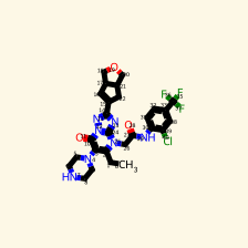 CCc1c(N2CCNCC2)c(=O)n2nc(C3=CC4COCC4C3)nc2n1CC(=O)Nc1ccc(C(F)(F)F)cc1Cl